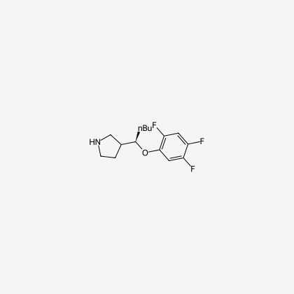 CCCC[C@@H](Oc1cc(F)c(F)cc1F)C1CCNC1